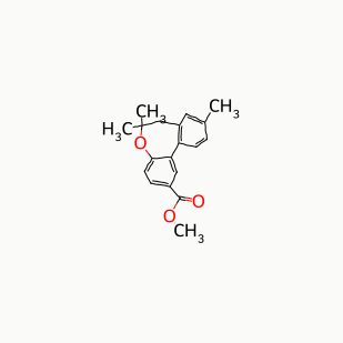 COC(=O)c1ccc2c(c1)-c1ccc(C)cc1CC(C)(C)O2